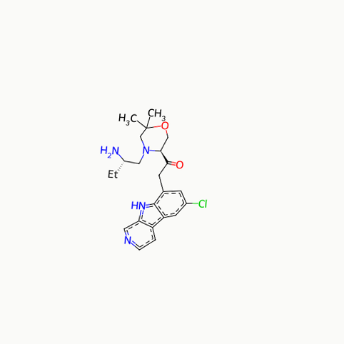 CC[C@H](N)CN1CC(C)(C)OC[C@H]1C(=O)Cc1cc(Cl)cc2c1[nH]c1cnccc12